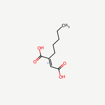 CCCCC/C(=C\C(=O)O)C(=O)O